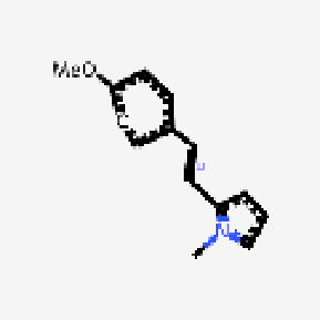 COc1ccc(/C=C/c2cccn2C)cc1